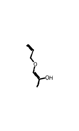 C=CCOC=C(C)O